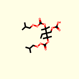 CCC(COC(=O)O)(C(C)(C)OC(=O)OOCC(C)C)C(C)(C)OC(=O)OOCC(C)C